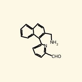 NCc1ccc2ccccc2c1-c1cccc(C=O)n1